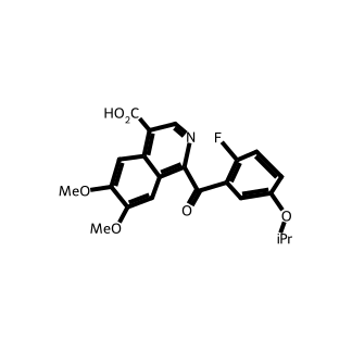 COc1cc2c(C(=O)O)cnc(C(=O)c3cc(OC(C)C)ccc3F)c2cc1OC